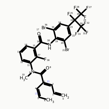 C=C/C=C(\C=C/C)C(=O)N(C)c1cccc(C(=O)Nc2c(Br)cc(C(F)(C(F)(F)F)C(F)(F)F)cc2Br)c1F